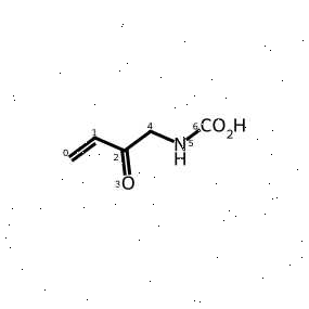 C=CC(=O)CNC(=O)O